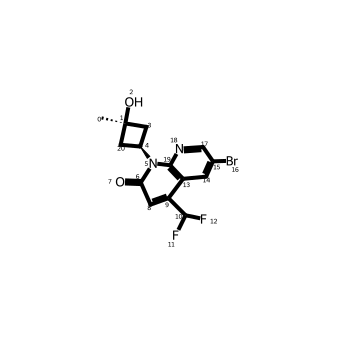 C[C@]1(O)C[C@@H](n2c(=O)cc(C(F)F)c3cc(Br)cnc32)C1